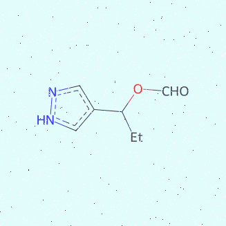 [CH2]CC(OC=O)c1cn[nH]c1